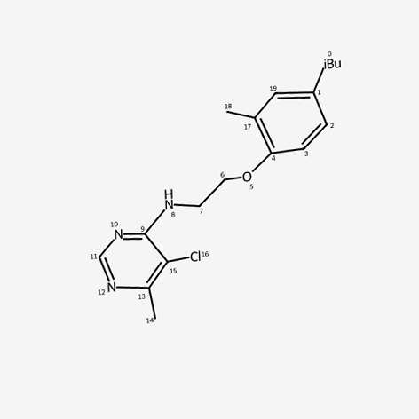 CCC(C)c1ccc(OCCNc2ncnc(C)c2Cl)c(C)c1